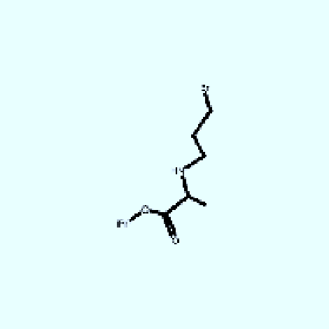 CC(C)OC(=O)C(C)NCCCBr